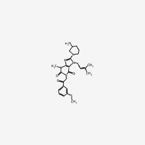 CSc1cccc(C(=O)Cn2c(=O)c3c(nc(N4CCCC(N)C4)n3CC=C(C)C)n(C)c2=O)c1